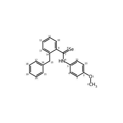 COc1ccc(NC(=[Se])c2ccccc2Cc2ccccc2)cc1